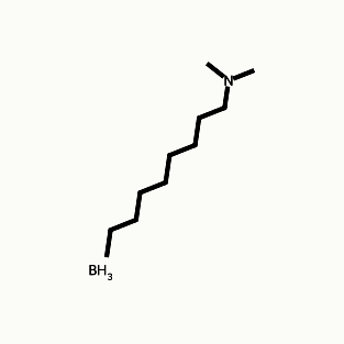 B.CCCCCCCCCN(C)C